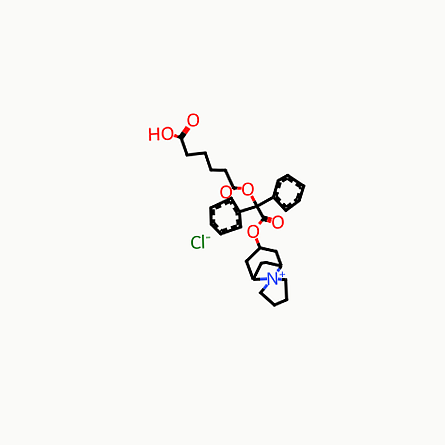 O=C(O)CCCCC(=O)OC(C(=O)OC1CC2CCC(C1)[N+]21CCCC1)(c1ccccc1)c1ccccc1.[Cl-]